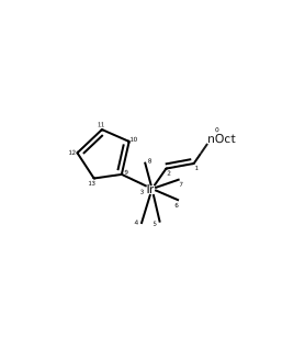 CCCCCCCCC=[CH][Ir]([CH3])([CH3])([CH3])([CH3])([CH3])[C]1=CC=CC1